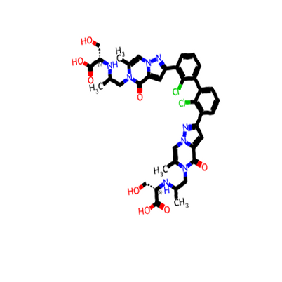 Cc1cn2nc(-c3cccc(-c4cccc(-c5cc6c(=O)n(CC(C)N[C@@H](CO)C(=O)O)c(C)cn6n5)c4Cl)c3Cl)cc2c(=O)n1CC(C)N[C@@H](CO)C(=O)O